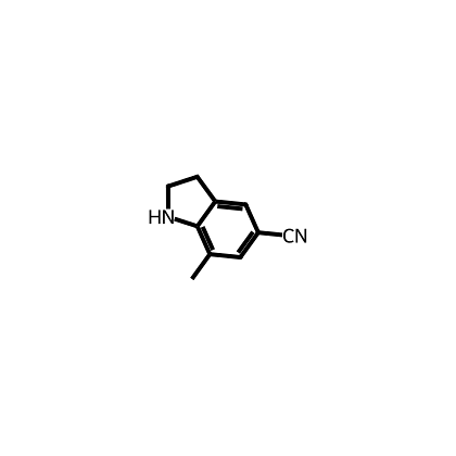 Cc1cc(C#N)cc2c1NCC2